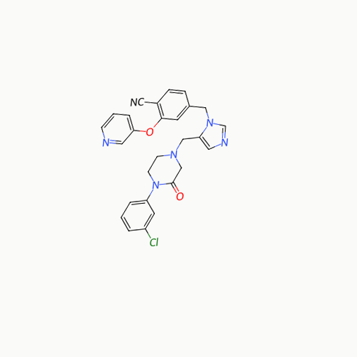 N#Cc1ccc(Cn2cncc2CN2CCN(c3cccc(Cl)c3)C(=O)C2)cc1Oc1cccnc1